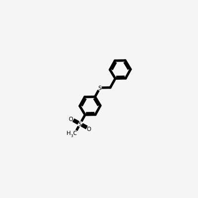 CS(=O)(=O)c1ccc(SCc2ccccc2)cc1